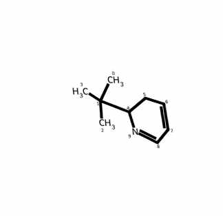 CC(C)(C)C1CC=CC=N1